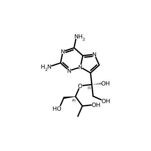 CC(O)[C@@H](CO)O[C@](O)(CO)c1cnc2c(N)nc(N)nn12